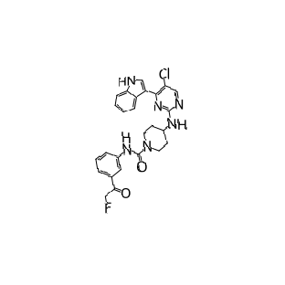 O=C(CF)c1cccc(NC(=O)N2CCC(Nc3ncc(Cl)c(-c4c[nH]c5ccccc45)n3)CC2)c1